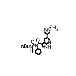 CCCCNC(=O)N(C(=O)c1c[nH]c2ncc(-c3cnn(C)c3)cc12)c1ccccc1